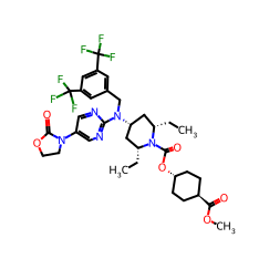 CC[C@@H]1C[C@H](N(Cc2cc(C(F)(F)F)cc(C(F)(F)F)c2)c2ncc(N3CCOC3=O)cn2)C[C@H](CC)N1C(=O)O[C@H]1CC[C@H](C(=O)OC)CC1